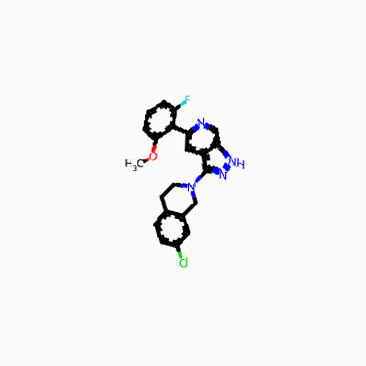 COc1cccc(F)c1-c1cc2c(N3CCc4ccc(Cl)cc4C3)n[nH]c2cn1